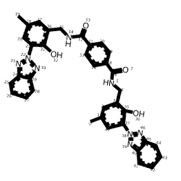 Cc1cc(CNC(=O)c2ccc(C(=O)NCc3cc(C)cc(-n4nc5ccccc5n4)c3O)cc2)c(O)c(-n2nc3ccccc3n2)c1